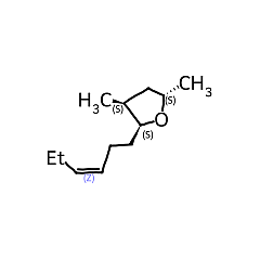 CC/C=C\CC[C@@H]1O[C@@H](C)C[C@@H]1C